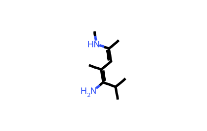 CN/C(C)=C\C(C)=C(\N)C(C)C